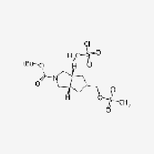 CC(C)(C)OC(=O)N1C[C@H]2CC(COS(C)(=O)=O)C[C@H]2C1.CS(=O)(=O)Cl